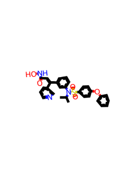 CC(C)N(c1cccc(C(=CC(=O)NO)c2cccnc2)c1)S(=O)(=O)c1ccc(Oc2ccccc2)cc1